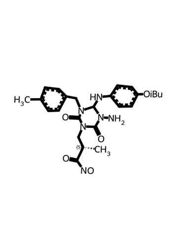 Cc1ccc(CN2C(=O)N(C[C@H](C)C(=O)N=O)C(=O)N(N)C2Nc2ccc(OCC(C)C)cc2)cc1